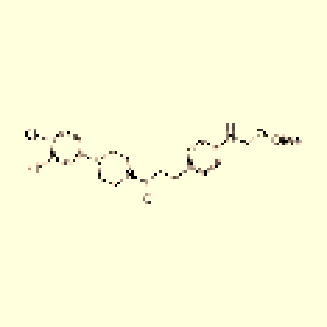 COOSNc1ccc(CCC(=O)N2CCN(c3ccc(Cl)c(Cl)c3)CC2)cc1